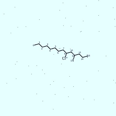 CCCCCCCCC(Cl)CC(I)CCI